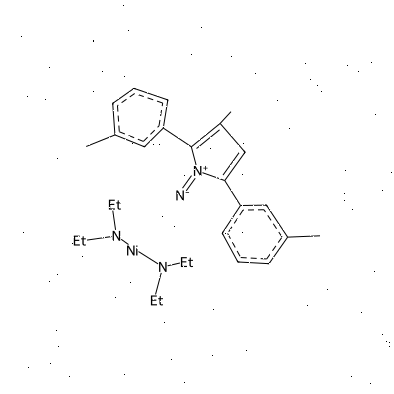 CC1=C(c2cccc(C)c2)[N+](=[N-])C(c2cccc(C)c2)=C1.CC[N](CC)[Ni][N](CC)CC